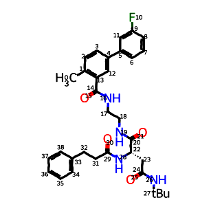 Cc1ccc(-c2cccc(F)c2)cc1C(=O)NCCNC(=O)[C@H](CC(=O)NC(C)(C)C)NC(=O)CCc1ccccc1